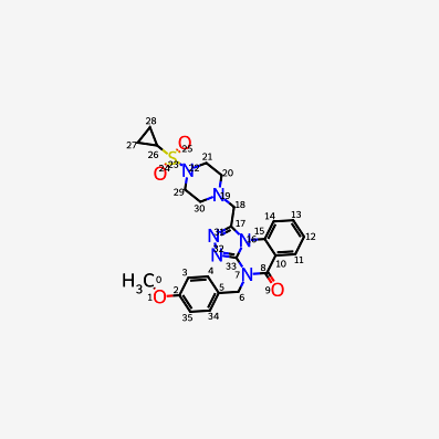 COc1ccc(Cn2c(=O)c3ccccc3n3c(CN4CCN(S(=O)(=O)C5CC5)CC4)nnc23)cc1